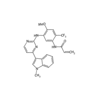 C=CC(=O)Nc1cc(Nc2nccc(-c3cn(C)c4ccccc34)n2)c(OC)cc1C(F)(F)F